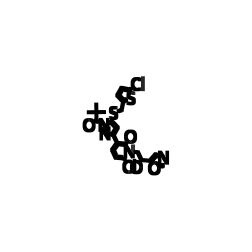 CC(C)(C)C(=O)n1nc(-c2ccc(Cl)n(CC(=O)c3cnco3)c2=O)cc1SCc1ccc(Cl)s1